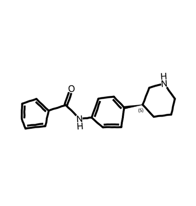 O=C(Nc1ccc([C@@H]2CCCNC2)cc1)c1ccccc1